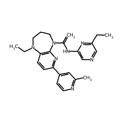 C=C(Nc1cncc(CC)n1)N1CCCN(CC)c2ccc(-c3ccnc(C)c3)nc21